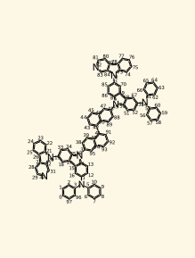 c1ccc(N(c2ccccc2)c2ccc3c(c2)c2cc(-n4c5ccccc5c5ccncc54)ccc2n3-c2ccc3c(-c4cccc5cc(-n6c7ccc(N(c8ccccc8)c8ccccc8)cc7c7cc(-n8c9ccccc9c9ccncc98)ccc76)ccc45)cccc3c2)cc1